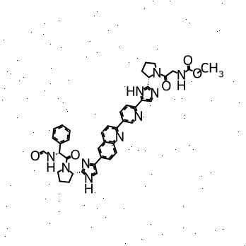 COC(=O)NCC(=O)N1CCC[C@H]1c1ncc(-c2ccc(-c3ccc4cc(-c5c[nH]c([C@@H]6CCCN6C(=O)[C@H](NC=O)c6ccccc6)n5)ccc4n3)cn2)[nH]1